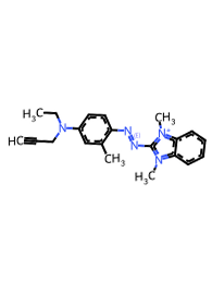 C#CCN(CC)c1ccc(/N=N/c2n(C)c3ccccc3[n+]2C)c(C)c1